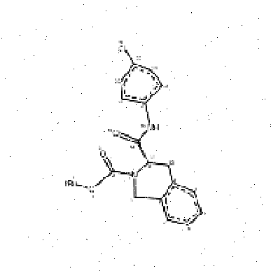 CC(C)(C)OC(=O)N1Cc2ccccc2C[C@@H]1C(=O)Nc1ccc(Cl)cc1